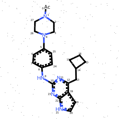 CC(=O)N1CCN(c2ccc(Nc3nc(CC4CCC4)c4cc[nH]c4n3)cc2)CC1